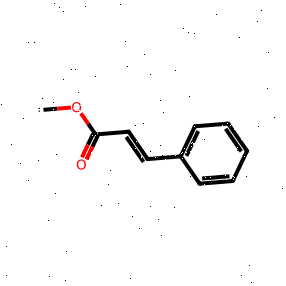 [CH]OC(=O)C=Cc1ccccc1